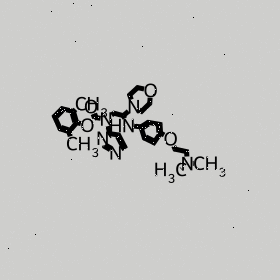 Cc1cccc(C)c1OC(=O)N(CC(Nc1ccc(OCCN(C)C)cc1)N1CCOCC1)c1ccncn1